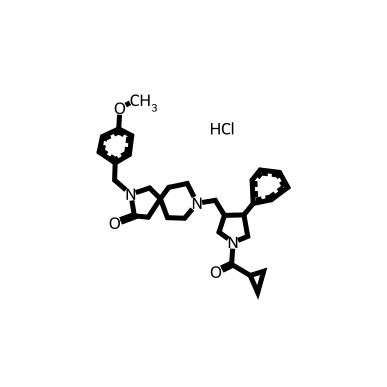 COc1ccc(CN2CC3(CCN(CC4CN(C(=O)C5CC5)CC4c4ccccc4)CC3)CC2=O)cc1.Cl